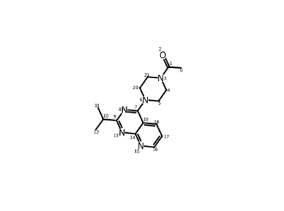 CC(=O)N1CCN(c2nc(C(C)C)nc3ncccc23)CC1